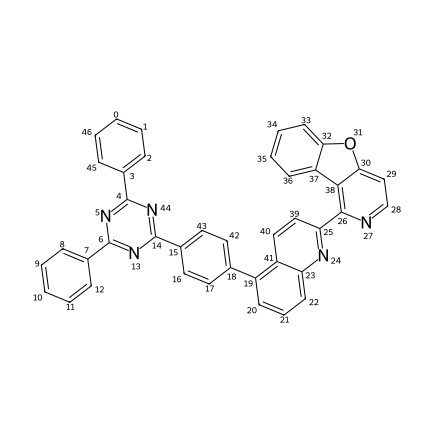 c1ccc(-c2nc(-c3ccccc3)nc(-c3ccc(-c4cccc5nc(-c6nccc7oc8ccccc8c67)ccc45)cc3)n2)cc1